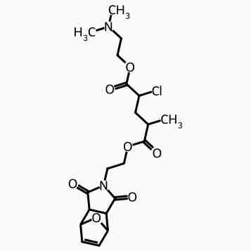 CC(CC(Cl)C(=O)OCCN(C)C)C(=O)OCCN1C(=O)C2C3C=CC(O3)C2C1=O